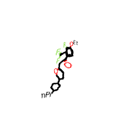 CCCC1CCC(C2CCC(CC(=O)c3ccc(OCC)c(F)c3C(F)F)OC2)CC1